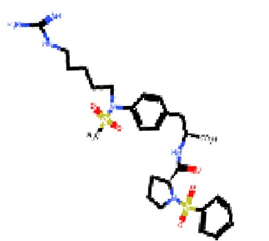 CS(=O)(=O)N(CCCCCNC(=N)N)c1ccc(C[C@H](NC(=O)[C@@H]2CCCN2S(=O)(=O)c2ccccc2)C(=O)O)cc1